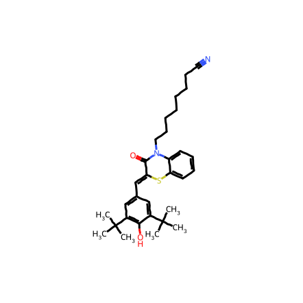 CC(C)(C)c1cc(C=C2Sc3ccccc3N(CCCCCCCC#N)C2=O)cc(C(C)(C)C)c1O